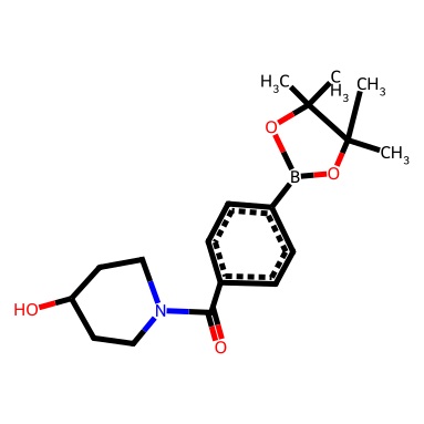 CC1(C)OB(c2ccc(C(=O)N3CCC(O)CC3)cc2)OC1(C)C